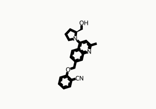 Cc1cc(N2CCC[C@H]2CO)c2ccc(COc3ccccc3C#N)cc2n1